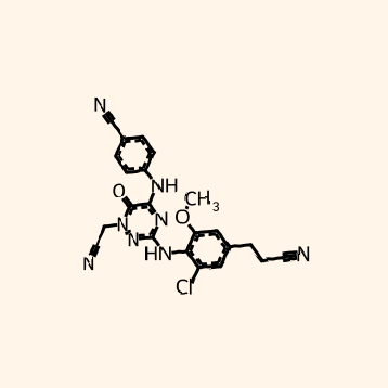 COc1cc(CCC#N)cc(Cl)c1Nc1nc(Nc2ccc(C#N)cc2)c(=O)n(CC#N)n1